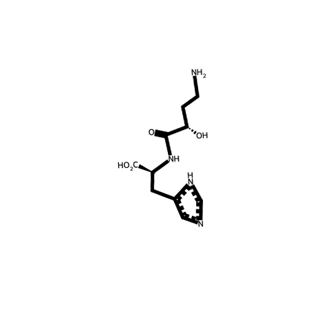 NCC[C@H](O)C(=O)N[C@@H](Cc1cnc[nH]1)C(=O)O